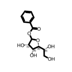 O=C(OC1O[C@H]([C@H](O)CO)[C@H](O)[C@@H]1O)c1ccccc1